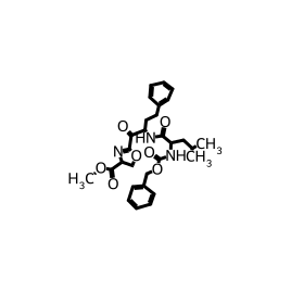 COC(=O)C1COC(C(=O)C(CCc2ccccc2)NC(=O)C(CC(C)C)NC(=O)OCc2ccccc2)=N1